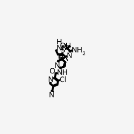 CC1(C)C(N)=N[C@](C)(C2(F)C=CC(NC(=O)c3ncc(C#N)cc3Cl)N=C2)[C@H]2CCNS21O